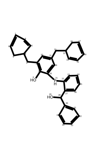 Oc1c(CC2C=CC=CC2)cc(CC2C=CC=CC2)cc1Pc1ccccc1C(O)c1ccccc1